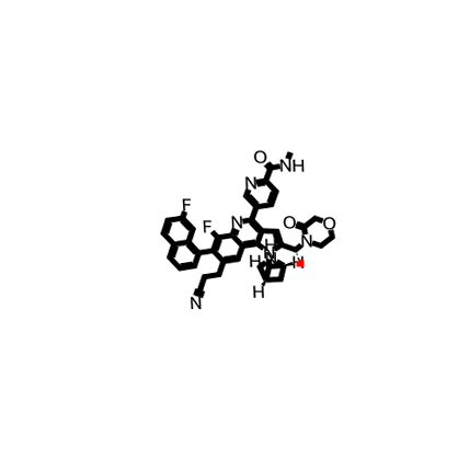 CNC(=O)c1ccc(-c2nc3c(F)c(-c4cccc5ccc(F)cc45)c(CCC#N)cc3c3c2cc([C@@H](C)N2CCOCC2=O)n3[C@H]2[C@H]3CN[C@@H]2C3)cn1